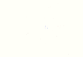 Cc1cccc(-c2cc3ccc(C)cc3c(=O)n2Cc2ccccc2)c1